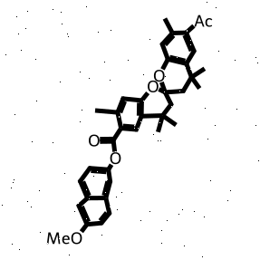 COc1ccc2cc(OC(=O)c3cc4c(cc3C)OC3(CC(C)(C)c5cc(C(C)=O)c(C)cc5O3)CC4(C)C)ccc2c1